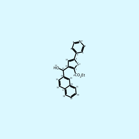 CCOC(=O)c1sc(-c2ccncc2)cc1C(O)c1ccc2ccccc2c1